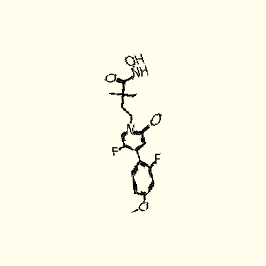 COc1ccc(-c2cc(=O)n(CCC(C)(C)C(=O)NO)cc2F)c(F)c1